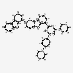 c1ccc(-c2ccc(-c3nc(-c4ccccc4)nc(-c4cccc5c4oc4ccc(-c6cccc7c6oc6ccccc67)cc45)n3)cc2)cc1